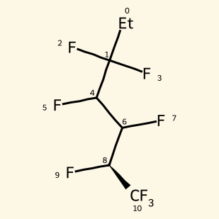 [CH2]CC(F)(F)C(F)C(F)[C@H](F)C(F)(F)F